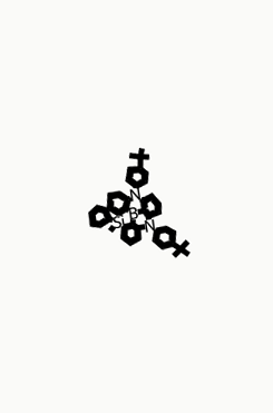 CC(C)(C)c1ccc(N2c3cccc4c3B3c5c2cccc5[Si](C)(c2ccccc2)c2cccc(c23)N4c2ccc(C(C)(C)C)cc2)cc1